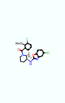 COc1c(F)cccc1C(=O)N1CCC[C@H](Nc2nc3cc(Cl)ccc3o2)[C@H]1C